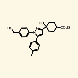 CCOC(=O)C1CCC(O)(c2cc(-c3ccc(C)cc3)n(-c3ccc(CO)cc3)n2)CC1